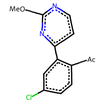 COc1nccc(-c2cc(Cl)ccc2C(C)=O)n1